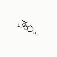 BC1CCCC2C(C1)CC(COC)(CC(C)C)N2C(C)C